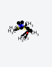 CCCCCCCC[Si]1(CCCCCCCC)c2cc(C)ccc2-c2ccc(-c3sc(-c4ccc(-c5cc(CCC)c(C)s5)c5nc(-c6ccccc6)c(-c6ccccc6)nc45)cc3CCC)cc21